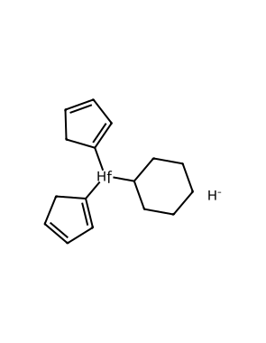 C1=CC[C]([Hf]([C]2=CC=CC2)[CH]2CCCCC2)=C1.[H-]